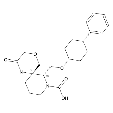 O=C1COC[C@@]2(CCCN(C(=O)O)[C@H]2CO[C@H]2CC[C@@H](c3ccccc3)CC2)N1